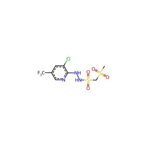 CS(=O)(=O)CS(=O)(=O)NNc1ncc(C(F)(F)F)cc1Cl